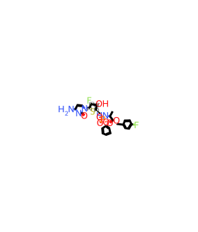 CC(NP(=O)(OC[C@H]1S[C@@H](n2ccc(N)nc2=O)[C@@H](F)[C@@H]1O)Oc1ccccc1)C(=O)OCc1ccc(F)cc1